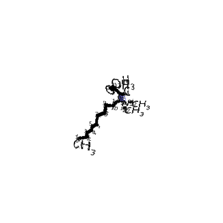 CCCCCCCCCCCC/C(=C(/C)C(=O)O)N(CC)CC